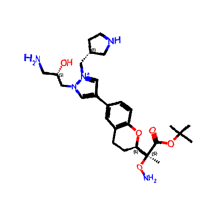 CC(C)(C)OC(=O)[C@@](C)(ON)[C@H]1CCc2cc(-c3cn(C[C@@H](O)CN)[n+](C[C@@H]4CCNC4)c3)ccc2O1